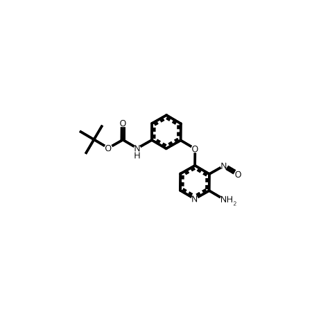 CC(C)(C)OC(=O)Nc1cccc(Oc2ccnc(N)c2N=O)c1